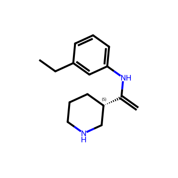 C=C(Nc1cccc(CC)c1)[C@H]1CCCNC1